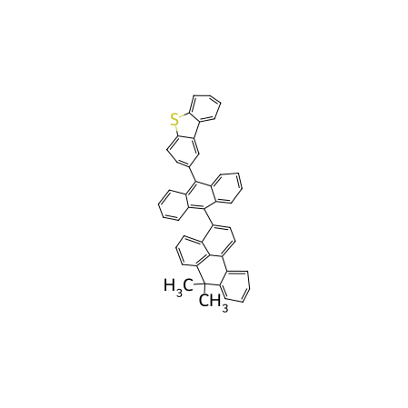 CC1(C)c2ccccc2-c2ccc(-c3c4ccccc4c(-c4ccc5sc6ccccc6c5c4)c4ccccc34)c3cccc1c23